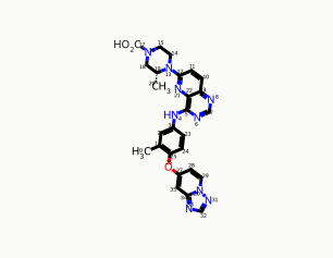 Cc1cc(Nc2ncnc3ccc(N4CCN(C(=O)O)C[C@H]4C)nc23)ccc1Oc1ccn2ncnc2c1